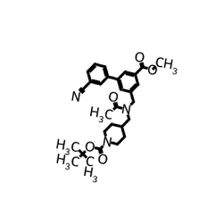 COC(=O)c1cc(CN(CC2CCN(C(=O)OC(C)(C)C)CC2)C(C)=O)cc(-c2cccc(C#N)c2)c1